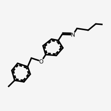 CCCC/N=C/c1ccc(OCc2ccc(C)cc2)cc1